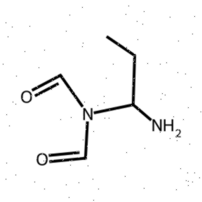 CCC(N)N(C=O)C=O